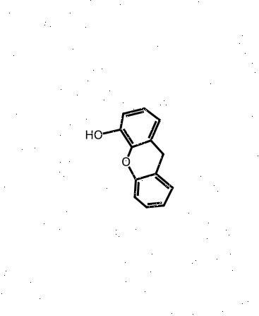 Oc1cccc2c1Oc1ccccc1C2